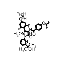 [2H]C([2H])([2H])Oc1cc(F)c(-c2c(NC(=O)c3ccc(OC(F)F)cc3)c(=O)n(-c3cccc(C(C)(C)O)n3)n2C)c(F)c1